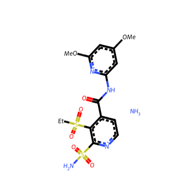 CCS(=O)(=O)c1c(C(=O)Nc2cc(OC)cc(OC)n2)ccnc1S(N)(=O)=O.N